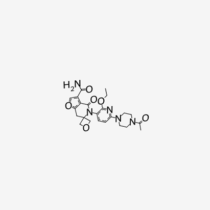 CCOc1nc(N2CCN(C(C)=O)CC2)ccc1N1C(=O)c2c(C(N)=O)coc2CC12COC2